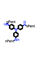 CCCCCNc1ccc(N(c2ccc(NCCCCC)cc2)c2ccc(NCCCCC)cc2)cc1